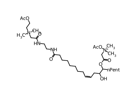 CCCCCC(OC(=O)C[N+](C)(C)OC(C)=O)C(O)C/C=C\CCCCCCCC(=O)NCCNC(=O)C[N+](C)(C)CCOC(C)=O